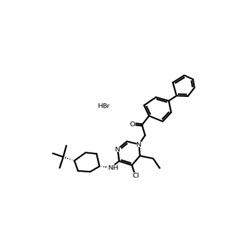 Br.CCC1C(Cl)=C(N[C@H]2CC[C@@H](C(C)(C)C)CC2)N=CN1CC(=O)c1ccc(-c2ccccc2)cc1